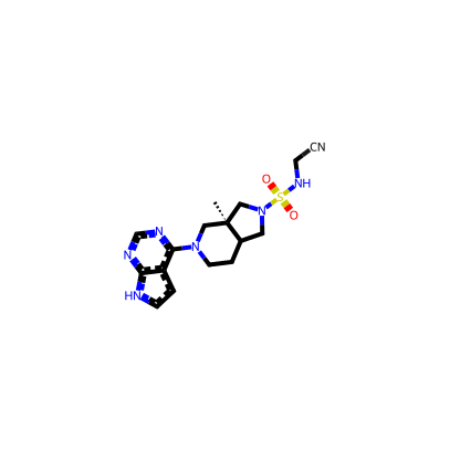 C[C@@]12CN(c3ncnc4[nH]ccc34)CCC1CN(S(=O)(=O)NCC#N)C2